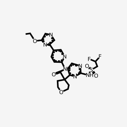 CCOc1cncc(-c2ccc(NC(=O)C3(c4ccnc(NS(=O)(=O)CC(F)F)n4)CCOCC3)nc2)n1